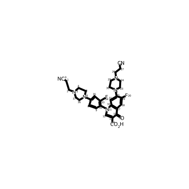 N#CCCN1CCN(c2ccc(-n3cc(C(=O)O)c(=O)c4cc(F)c(N5CCN(CCC#N)CC5)cc43)c(F)c2)CC1